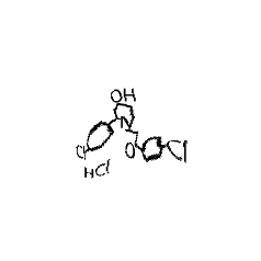 Cl.O=C(CCN1CCC(O)CC1c1ccc(Cl)cc1)c1ccc(Cl)cc1